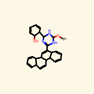 CC(C)OC1NC(C2=CC3C4C=CC=CC4C=CC3C3C=CC=CC23)=NC(C2C=CC=CC2O)N1